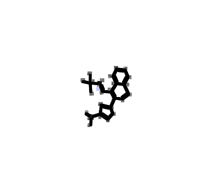 CN(C)C1=CCC(c2ccc3ccccc3c2/C=N/C(C)(C)C)=C1